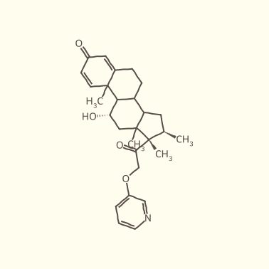 C[C@@H]1CC2C3CCC4=CC(=O)C=CC4(C)C3[C@@H](O)CC2(C)[C@@]1(C)C(=O)COc1cccnc1